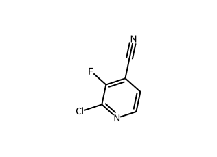 N#Cc1ccnc(Cl)c1F